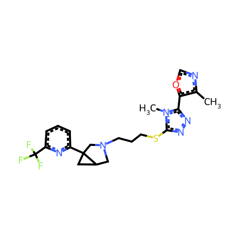 Cc1ncoc1-c1nnc(SCCCN2CC3CC3(c3cccc(C(F)(F)F)n3)C2)n1C